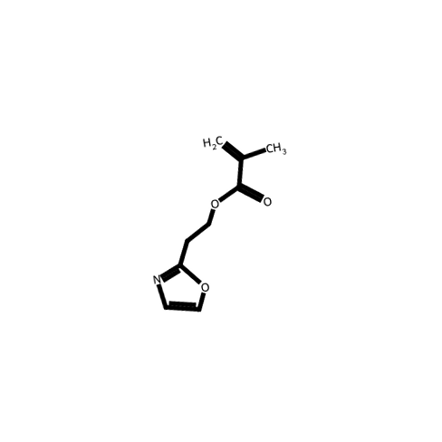 C=C(C)C(=O)OCCc1ncco1